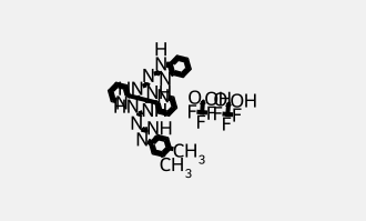 Cc1cc2nc(N=C3NC4(c5ccccn5)NC(=Nc5nc6ccccc6[nH]5)NC4(c4ccccn4)N3)[nH]c2cc1C.O=C(O)C(F)(F)F.O=C(O)C(F)(F)F